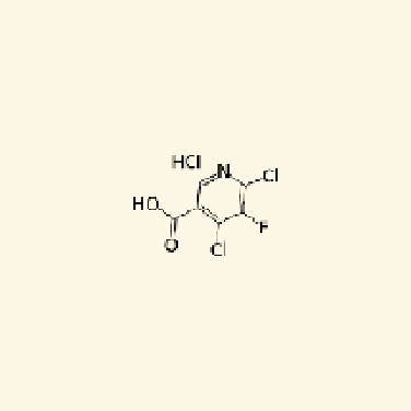 Cl.O=C(O)c1cnc(Cl)c(F)c1Cl